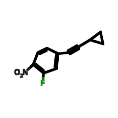 O=[N+]([O-])c1ccc(C#CC2CC2)cc1F